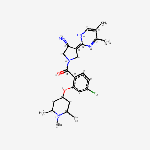 CCCCN1C(C)CC(Oc2cc(F)ccc2C(=O)N2CC(=N)/C(=C3/N=C(C)C(C)=CN3)C2)CC1CC